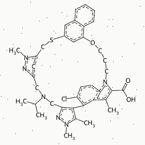 Cc1c(C(=O)O)n2c3ccc(Cl)c(c13)-c1c(nn(C)c1C)CN(C(C)C)Cc1cc(n(C)n1)CSc1cc(c3ccccc3c1)OCCC2